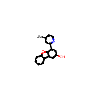 CC(C)(C)c1ccnc(-c2cc(O)cc3c2oc2ccccc23)c1